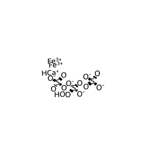 O=S(=O)([O-])[O-].O=S(=O)([O-])[O-].O=S(=O)([O-])[O-].[CaH+].[Fe+3].[Fe+3].[OH-]